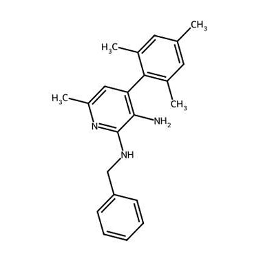 Cc1cc(C)c(-c2cc(C)nc(NCc3ccccc3)c2N)c(C)c1